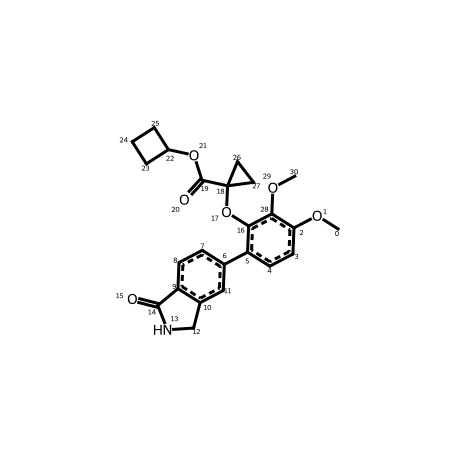 COc1ccc(-c2ccc3c(c2)CNC3=O)c(OC2(C(=O)OC3CCC3)CC2)c1OC